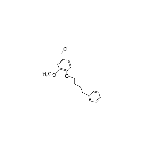 COc1cc(CCl)ccc1OCCCCc1ccccc1